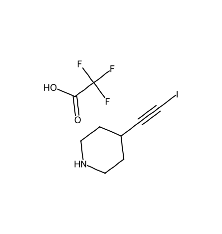 IC#CC1CCNCC1.O=C(O)C(F)(F)F